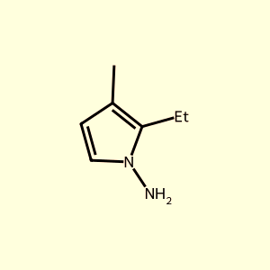 CCc1c(C)ccn1N